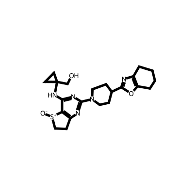 [O-][S+]1CCc2nc(N3CCC(c4nc5c(o4)CCCC5)CC3)nc(NC3(CO)CC3)c21